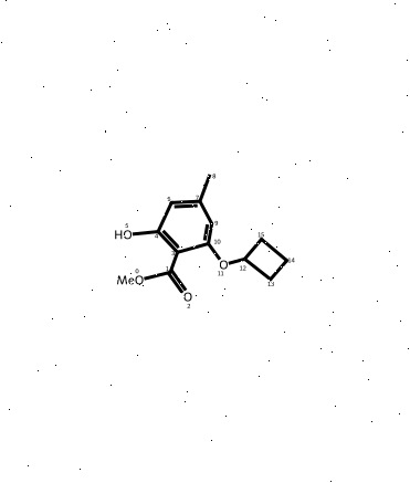 COC(=O)c1c(O)cc(C)cc1OC1CCC1